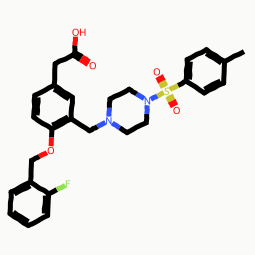 Cc1ccc(S(=O)(=O)N2CCN(Cc3cc(CC(=O)O)ccc3OCc3ccccc3F)CC2)cc1